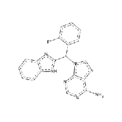 Nc1ncnc2c1ncn2C(c1nc2ccccc2[nH]1)c1ccccc1F